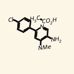 CC(=O)O.CNc1cc(-c2ccc(Cl)cc2)ncc1N